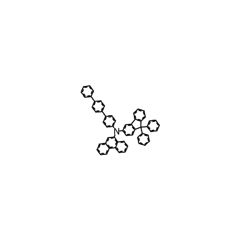 c1ccc(-c2ccc(-c3ccc(N(c4ccc5c(c4)-c4ccccc4C5(c4ccccc4)c4ccccc4)c4cc5ccccc5c5ccccc45)cc3)cc2)cc1